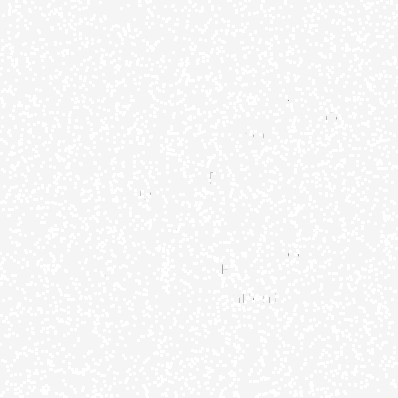 C=CCOC(=O)C(F)(F)C(OCCCCC)C1COC(C)(C)O1